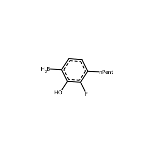 Bc1ccc(CCCCC)c(F)c1O